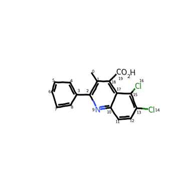 Cc1c(-c2ccccc2)nc2ccc(Cl)c(Cl)c2c1C(=O)O